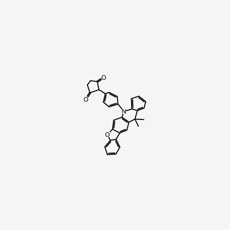 CC1(C)c2ccccc2N(c2ccc(C3C(=O)CCC3=O)cc2)c2cc3oc4ccccc4c3cc21